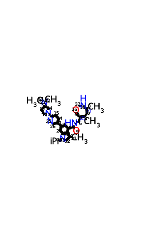 C/C1=C/C(C)=C(/CNC(=O)c2cc(-c3ccc(N4CCC(N(C)C)C4)nc3)cc3c2c(C)cn3C(C)C)COCN1